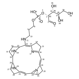 O=C[C@H](OP(=O)(O)OCCCNC1=C2CCC(=N2)C=C2CCC(=N2)C=C2CCC(N2)C2CCC1N2)[C@H](O)[C@H](O)CO